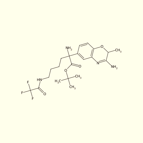 CC1Oc2ccc(C(N)(CCCCNC(=O)C(F)(F)F)C(=O)OC(C)(C)C)cc2N=C1N